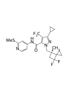 CSc1cc(NC(=O)c2c(C(F)(F)F)c(C3CC3)nn2C[C@@]2(C)CC(F)(F)C23CC3)ccn1